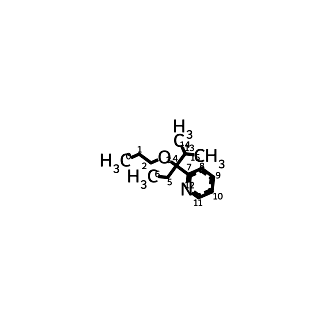 CCCOC(CC)(c1ccccn1)C(C)C